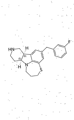 Fc1cccc(Cc2cc3c4c(c2)[C@@H]2CNCC[C@@H]2N4CCCS3)c1